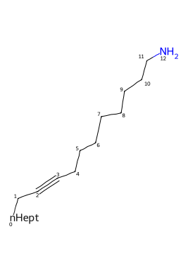 CCCCCCCCC#CCCCCCCCCN